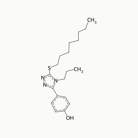 CCCCCCCCSc1nnc(-c2ccc(O)cc2)n1CCC